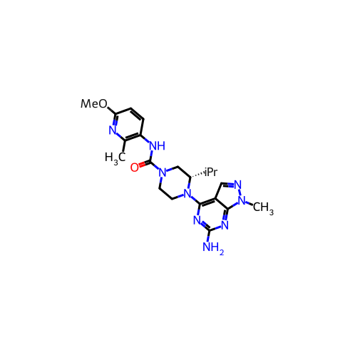 COc1ccc(NC(=O)N2CCN(c3nc(N)nc4c3cnn4C)[C@@H](C(C)C)C2)c(C)n1